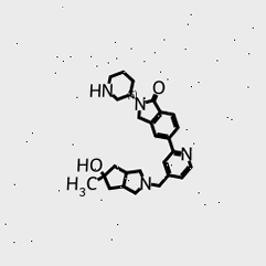 CC1(O)CC2CN(Cc3ccnc(-c4ccc5c(c4)CN([C@H]4CCCNC4)C5=O)c3)CC2C1